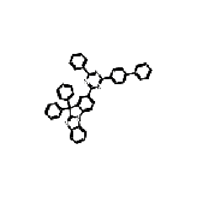 c1ccc(-c2ccc(-c3nc(-c4ccccc4)nc(-c4ccc5c(c4)C(c4ccccc4)(c4ccccc4)c4nc6ccccc6n4-5)n3)cc2)cc1